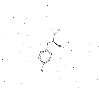 N[C@@H](Cc1ccc(Br)cc1)[C@@H]1CO1